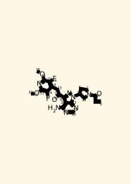 C=CC(=O)N1CCC(n2nc(C(=O)Cc3c(F)c(OC)nc(OC)c3F)c3c(N)ncnc32)C1